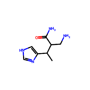 CC(c1c[nH]cn1)C(CN)C(N)=O